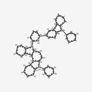 c1ccc(-n2c3ccccc3c3cc(-c4cccc(-n5c6ccccc6c6c7c8ccccc8n(-c8ccccc8)c7ccc65)n4)ccc32)cc1